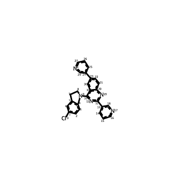 Clc1ccc2c(c1)CCN2c1nc(-c2cccnc2)nc2ccc(-c3cccnc3)cc12